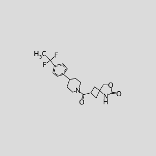 CC(F)(F)c1ccc(C2CCN(C(=O)C3CC4(COC(=O)N4)C3)CC2)cc1